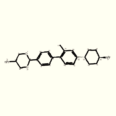 CCCC1COC(c2ccc(-c3ccc([C@H]4CC[C@H](CCC)CC4)cc3C)cc2)OC1